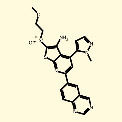 COCC[S@@+]([O-])c1sc2nc(-c3ccc4ncncc4c3)cc(-c3ccnn3C)c2c1N